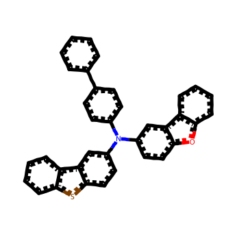 c1ccc(-c2ccc(N(c3ccc4oc5ccccc5c4c3)c3ccc4sc5ccccc5c4c3)cc2)cc1